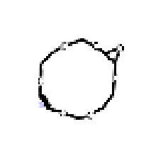 C1=C\CCCCCCC2OC2CCCCCC/1